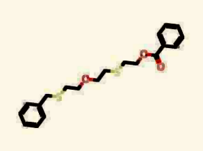 O=C(OCCSCCOCCSCc1[c]cccc1)c1[c]cccc1